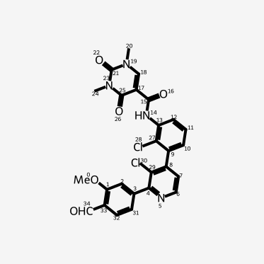 COc1cc(-c2nccc(-c3cccc(NC(=O)c4cn(C)c(=O)n(C)c4=O)c3Cl)c2Cl)ccc1C=O